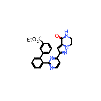 CCOC(=O)c1cccc(-c2ccccc2-c2nccc(-c3cc4n(n3)CCNC4=O)n2)c1